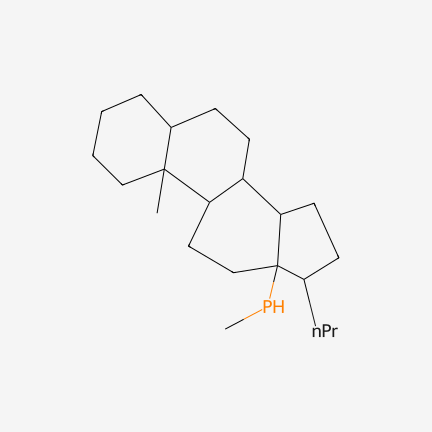 CCCC1CCC2C3CCC4CCCCC4(C)C3CCC12PC